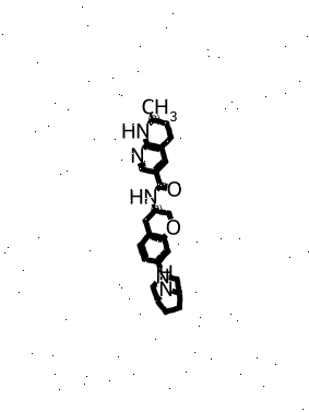 C[C@@H]1CCc2cc(C(=O)N[C@H]3COc4cc(N5CC6CCC(C5)N6)ccc4C3)cnc2N1